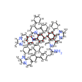 C=C1c2ccc(-c3ccccc3-c3cc(-c4ccccc4-c4ccc(-c5ccc(-c6ccccc6-c6cc(-c7ccccc7-c7ccc8c(ccn9cc(C)nc89)c7)cc(-c7ccccc7-c7ccc8c(ccn9cc(C)nc89)c7)c6)cn5)nc4)cc(-c4ccccc4-c4ccc5c(ccn6cc(C)nc56)c4)c3)cc2C=CN1/C=C(/C)N